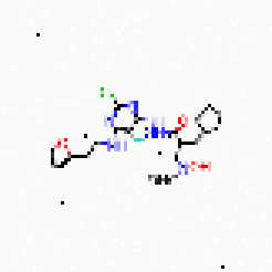 O=CN(O)C[C@H](CC1CCCC1)C(=O)NNc1nc(Cl)nc(NCCc2ccco2)c1F